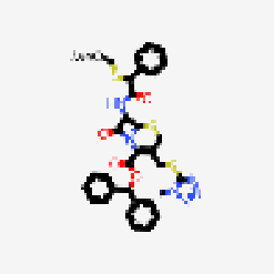 COCSC(C(=O)NC1C(=O)N2C(C(=O)OC(c3ccccc3)c3ccccc3)=C(CSc3nnnn3C)CSC12)c1ccccc1